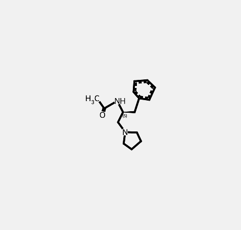 CC(=O)N[C@@H](Cc1ccccc1)CN1CCCC1